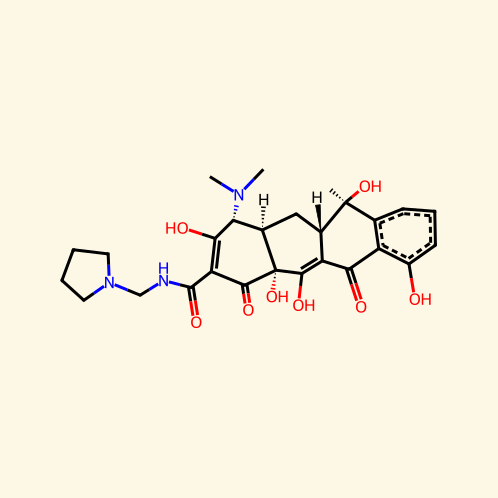 CN(C)[C@H]1C(O)=C(C(=O)NCN2CCCC2)C(=O)[C@]2(O)C(O)=C3C(=O)c4c(O)cccc4[C@](C)(O)[C@H]3C[C@H]12